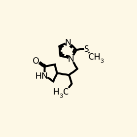 CCC(Cn1ccnc1SC)C1CNC(=O)C1